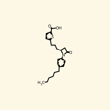 CCCCCCc1ccc(N2C(=O)C[C@@H]2CCCc2ccc(C(=O)O)s2)cc1